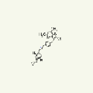 CCc1nc2c(C)cc(C)nc2n1Cc1ccc(/C=C/CN2C[C@H]3C[C@@H]2CN3CC2CC2)cc1